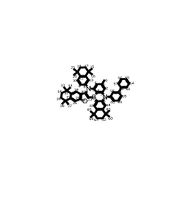 Cc1cc2c3c(c1)N(c1ccc4c(c1)C(C)(C)CCC4(C)C)c1c(oc4cc5c(cc14)C(C)(C)CCC5(C)C)B3c1cc3c(cc1N2c1cccc(-c2ccccc2)c1)C(C)(C)CCC3(C)C